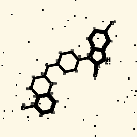 O=c1[nH]c2cc(Cl)ccc2n1C1CCN(CC2COc3c(Cl)cccc3O2)CC1